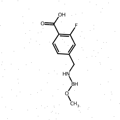 COBNCc1ccc(C(=O)O)c(F)c1